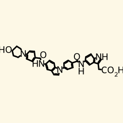 O=C(O)Cc1c[nH]c2ccc(NC(=O)c3ccc(-n4ccc5cc(NC(=O)c6ccc(N7CCC(O)CC7)cc6)ccc54)cc3)cc12